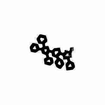 Clc1nc(-c2ccccc2)nc(-c2ccc(-c3cc(-c4ccccc4)c(-c4ccccc4)cc3-c3ccccc3)cc2-c2ccccc2)n1